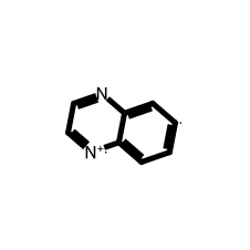 [c]1ccc2c(c1)N=CC=[N+]2